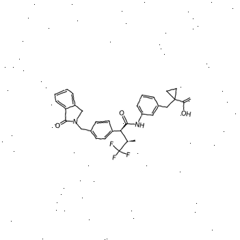 C=C(O)C1(Cc2cccc(NC(=O)[C@H](c3ccc(CN4Cc5ccccc5C4=O)cc3)[C@@H](C)C(F)(F)F)c2)CC1